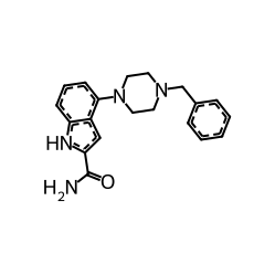 NC(=O)c1cc2c(N3CCN(Cc4ccccc4)CC3)cccc2[nH]1